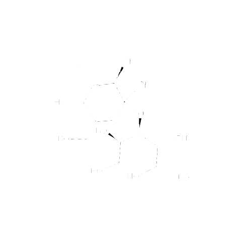 O=C[C@H](O)[C@@H](O)[C@H](OC1(O)O[C@H](CO)[C@H](O)[C@H](O)[C@H]1O)[C@H](O)CO